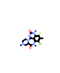 Cc1c(Cl)c2c3c(nc(=O)n(I)c3c1F)N1CCN(C)CC1C(=O)N2C